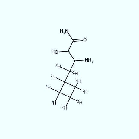 [2H]C([2H])(C(N)C(O)C(N)=O)C1([2H])C([2H])([2H])C([2H])([2H])C1([2H])[2H]